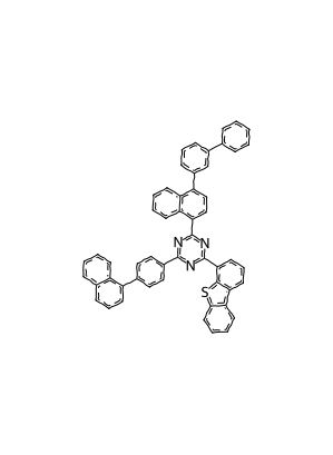 c1ccc(-c2cccc(-c3ccc(-c4nc(-c5ccc(-c6cccc7ccccc67)cc5)nc(-c5cccc6c5sc5ccccc56)n4)c4ccccc34)c2)cc1